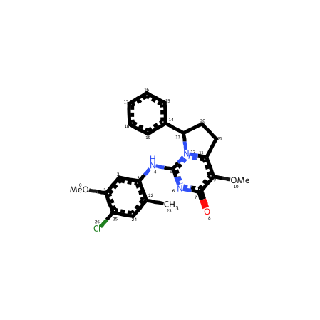 COc1cc(Nc2nc(=O)c(OC)c3n2C(c2ccccc2)CC3)c(C)cc1Cl